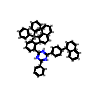 c1ccc(-c2nc(-c3ccc(-c4cccc5ccccc45)cc3)nc(-c3cccc4c3-c3ccc5ccccc5c3[Si]4(c3ccccc3)c3ccccc3)n2)cc1